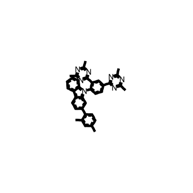 Cc1ccc(-c2ccc3c4ccccc4n(-c4ccc(-c5nc(C)nc(C)n5)cc4-c4nc(C)nc(C)n4)c3c2)c(C)c1